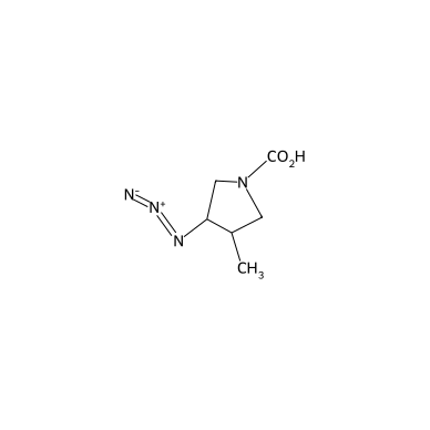 CC1CN(C(=O)O)CC1N=[N+]=[N-]